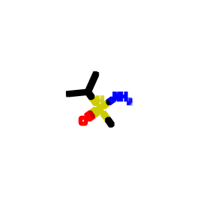 CC(C)[SH](C)(N)=O